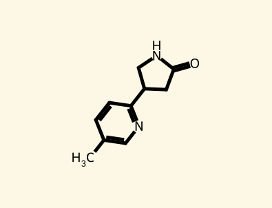 Cc1ccc(C2CNC(=O)C2)nc1